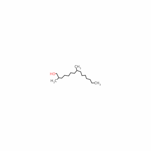 CCCCCCCC(C)CCCCCC(C)CO